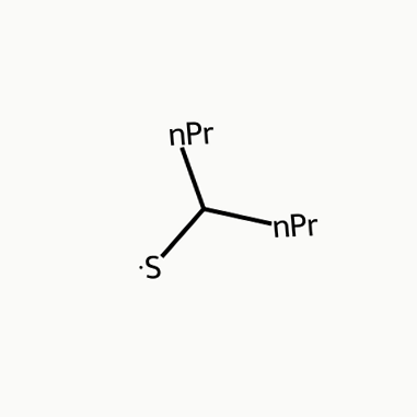 CCCC([S])CCC